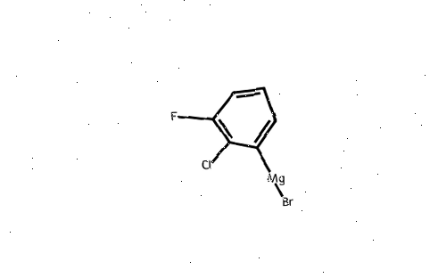 Fc1ccc[c]([Mg][Br])c1Cl